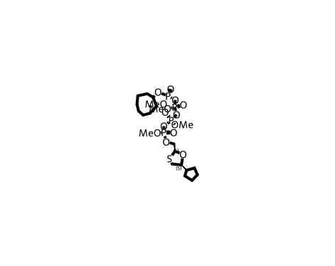 COP(=O)(OC[C@H]1O[C@@H](C2CCCC2)CS1)OP(=O)(OC)OP(=O)(OC)OP(=O)(OC)OC1CCCCCCC1